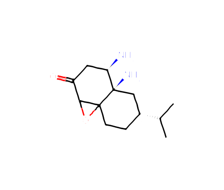 CC(C)[C@@H]1CCC23OC2C(=O)C[C@@H](N)[C@]3(N)C1